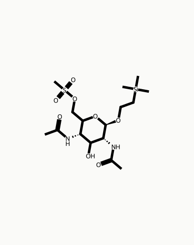 CC(=O)N[C@@H]1C(COS(C)(=O)=O)O[C@@H](OCC[Si](C)(C)C)[C@H](NC(C)=O)C1O